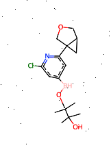 CC(C)(O)C(C)(C)OBc1cc(Cl)nc(C23COCC2C3)c1